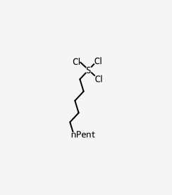 CCCCCCCCCCS(Cl)(Cl)Cl